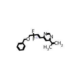 C=C(C)c1cc(/C=C/C(F)(F)COCc2ccccc2)ncn1